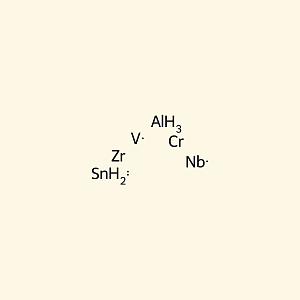 [AlH3].[Cr].[Nb].[SnH2].[V].[Zr]